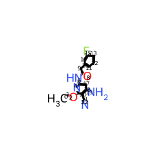 CCOc1nc(NC(=O)Cc2cccc(F)c2)cc(N)c1C#N